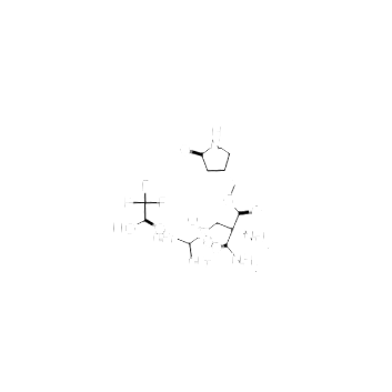 CCCC(CCC)S(=O)(=O)C[C@](N)(C(N)=O)C(=O)OC[C@H]1CNC(=O)C1.O=C(O)C(F)(F)F